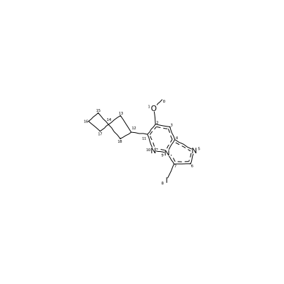 COc1cc2ncc(I)n2nc1C1CC2(CCC2)C1